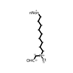 CCCCCCCCCCCCCCCCCCN(CC)CC=O